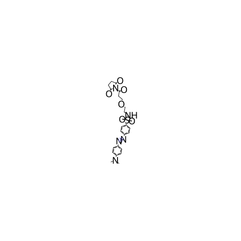 CN(C)c1ccc(/N=N/c2ccc(S(=O)(=O)NCCOCCC(=O)N3C(=O)CCC3=O)cc2)cc1